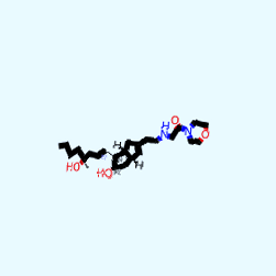 CCCC[C@](C)(O)C/C=C/[C@@H]1[C@H]2CC(CCNCC(=O)N3CCOCC3)=C[C@H]2C[C@H]1O